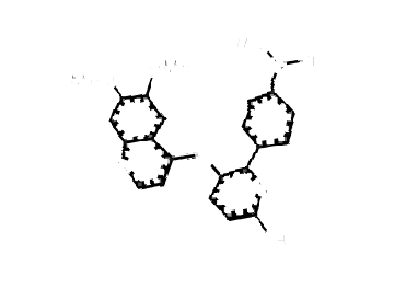 COc1cc2nccc(Oc3ccc(C)nc3-c3ccc(N(C)C)cc3)c2cc1OC